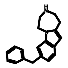 c1ccc(Cc2ccc3cc4n(c3c2)CCNCC4)cc1